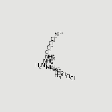 [Cl-].[Cl-].[Cl-].[Cl-].[Cl-].[Cl-].[Cl-].[Cl-].[NH4+].[NH4+].[NH4+].[NH4+].[NH4+].[NH4+].[Ni+2]